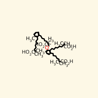 Cc1cccc(CCCCCC(C)(COc2cccc(CCCCCC(C)(C)C(=O)O)c2CCCCCCC(C)(C)C(=O)O)C(=O)O)c1CCCCCCC(C)(C)C(=O)O